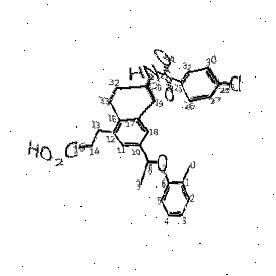 Cc1ccccc1OC(C)c1cc(CCC(=O)O)c2c(c1)CC(NS(=O)(=O)c1ccc(Cl)cc1)CC2